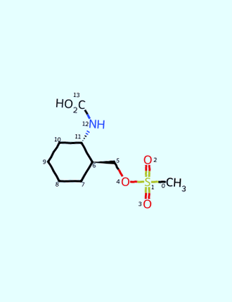 CS(=O)(=O)OC[C@H]1CCCC[C@@H]1NC(=O)O